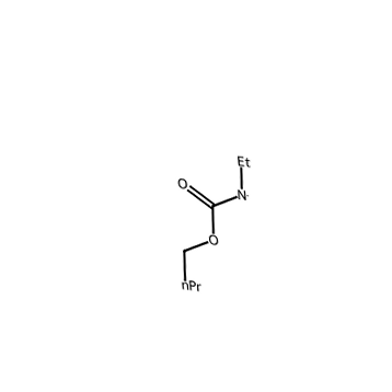 CCCCOC(=O)[N]CC